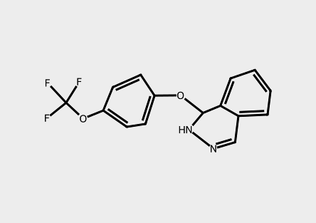 FC(F)(F)Oc1ccc(OC2NN=Cc3ccccc32)cc1